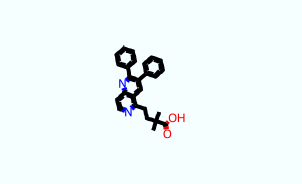 CC(C)(CCc1nccc2nc(-c3cc[c]cc3)c(-c3ccccc3)cc12)C(=O)O